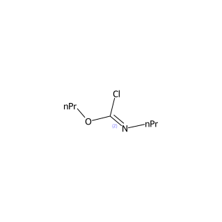 CCC/N=C(\Cl)OCCC